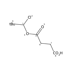 CC(C)(C)C(Cl)OC(=O)CCC(=O)O